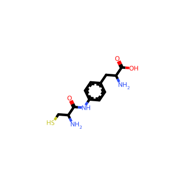 NC(Cc1ccc(NC(=O)C(N)CS)cc1)C(=O)O